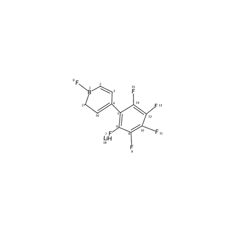 FB1C=CC(c2c(F)c(F)c(F)c(F)c2F)=CC1.[LiH]